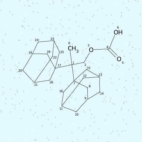 CC(COC(=O)O)(C12CC3CC(CC(C3)C1)C2)C12CC3CC(CC(C3)C1)C2